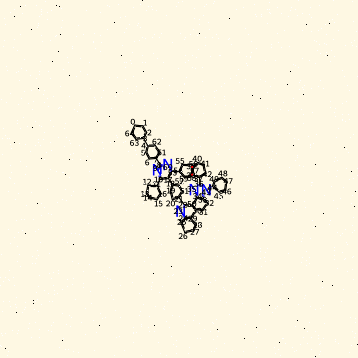 c1ccc(-c2ccc(-c3nc(-c4ccccc4)c(-c4ccc(-c5nc6ccccc6c6ccc7c(nc(-c8ccccc8)n7-c7ccccc7)c56)cc4)c(-c4ccccc4)n3)cc2)cc1